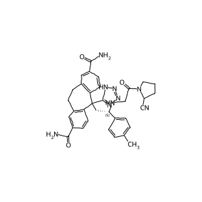 Cc1ccc([C@H](CC2(c3nnn[nH]3)c3ccc(C(N)=O)cc3CCc3cc(C(N)=O)ccc32)NCC(=O)N2CCCC2C#N)cc1